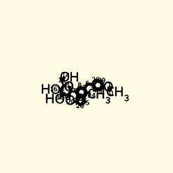 COc1ccc(Cc2cc([C@@H]3O[C@H](CO)[C@H](O)[C@H](O)[C@@H]3O)c3c(c2C)CCC3)cc1